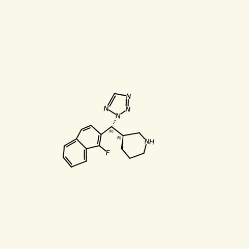 Fc1c([C@@H]([C@@H]2CCCNC2)n2ncnn2)ccc2ccccc12